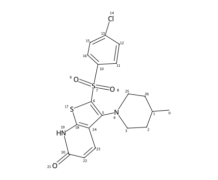 CC1CCN(c2c(S(=O)(=O)c3ccc(Cl)cc3)sc3[nH]c(=O)ccc23)CC1